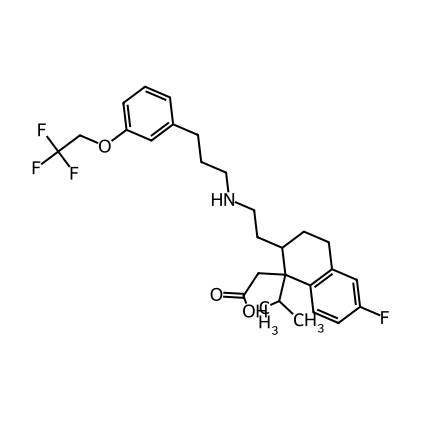 CC(C)C1(CC(=O)O)c2ccc(F)cc2CCC1CCNCCCc1cccc(OCC(F)(F)F)c1